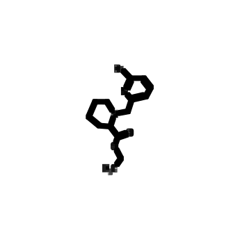 CCOC(=O)C1CCCCN1Cc1cccc(Br)n1